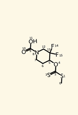 CSC(=S)OC1CCN(C(=O)O)CC1(F)F